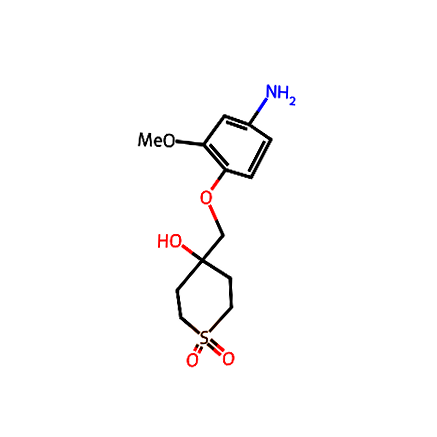 COc1cc(N)ccc1OCC1(O)CCS(=O)(=O)CC1